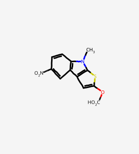 Cn1c2ccc([N+](=O)[O-])cc2c2cc(OC(=O)O)sc21